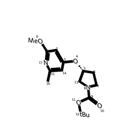 COc1cc(O[C@@H]2CCN(C(=O)OC(C)(C)C)C2)cc(C)n1